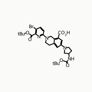 CC(C)(C)OC(=O)NC1CCN(c2cc3c(c(C(=O)O)c2)CN(c2ccc(Br)c(C(=O)OC(C)(C)C)n2)CC3)C1